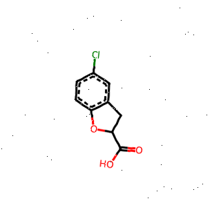 O=C(O)C1Cc2cc(Cl)ccc2O1